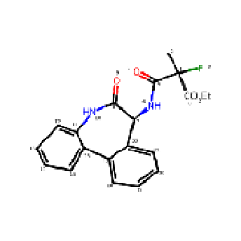 CCOC(=O)[C@@](C)(F)C(=O)N[C@@H]1C(=O)Nc2ccccc2-c2ccccc21